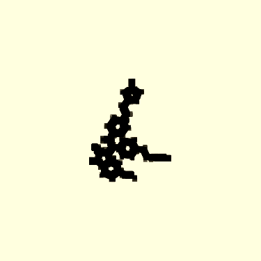 CC(=O)NCCc1ccc(/C(Nc2ccc(/C=C/c3c[nH]cn3)cc2)=C2/C(=O)Nc3ccc([N+](=O)[O-])cc32)cc1